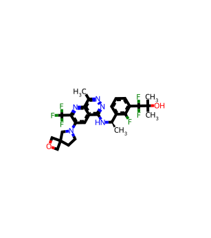 Cc1nnc(N[C@H](C)c2cccc(C(F)(F)C(C)(C)O)c2F)c2cc(N3CCC4(COC4)C3)c(C(F)(F)F)nc12